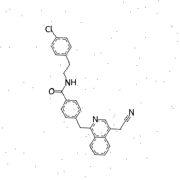 N#CCc1cnc(Cc2ccc(C(=O)NCCc3ccc(Cl)cc3)cc2)c2ccccc12